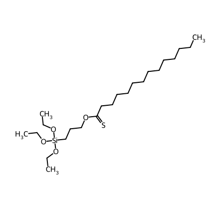 CCCCCCCCCCCCCC(=S)OCCC[Si](OCC)(OCC)OCC